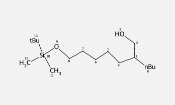 CCCCC(CO)CCCCCO[Si](C)(C)C(C)(C)C